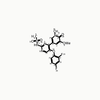 COc1cc(-c2nc(NS(C)(=O)=O)ncc2Oc2ccc(F)cc2F)cn(C)c1=O